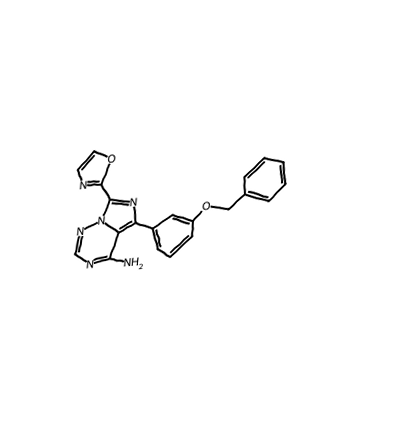 Nc1ncnn2c(-c3ncco3)nc(-c3cccc(OCc4ccccc4)c3)c12